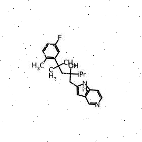 Cc1ccc(F)cc1C(C)(C)CC(O)(Cc1cc2cnccc2[nH]1)C(C)C